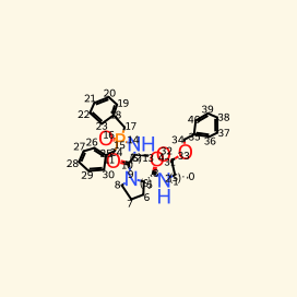 C[C@H](NC(=O)[C@@H]1CCCN1C(=O)[C@H](C)NP(=O)(Cc1ccccc1)Cc1ccccc1)C(=O)OCc1ccccc1